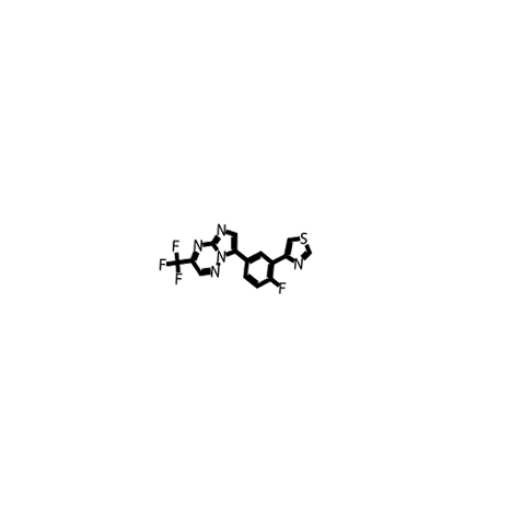 Fc1ccc(-c2cnc3nc(C(F)(F)F)cnn23)cc1-c1cscn1